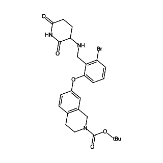 CC(C)(C)OC(=O)N1CCc2ccc(Oc3cccc(Br)c3CNC3CCC(=O)NC3=O)cc2C1